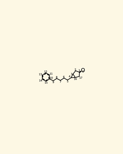 O=C1CC2C(CCCCCc3ccccc3)C2C1